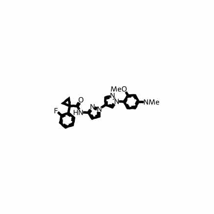 CNc1ccc(-n2cc(-n3ccc(NC(=O)C4(c5ccccc5F)CC4)n3)cn2)c(OC)c1